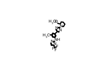 COCC1CCCCN1c1ncc(-c2cc(C)cc(Nc3nccc(C(F)(F)F)n3)c2)cn1